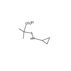 CCOC(=O)C(C)(C)SNC1CC1